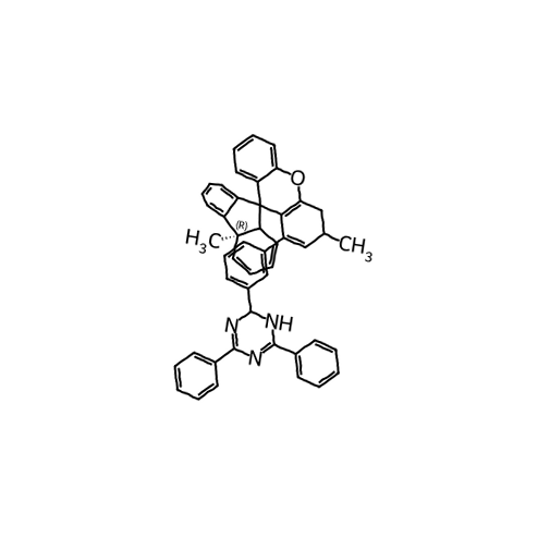 CC1C=C(c2cccc(C3N=C(c4ccccc4)N=C(c4ccccc4)N3)c2)C2=C(C1)Oc1ccccc1C21c2ccccc2[C@]2(C)C=CC=CC12